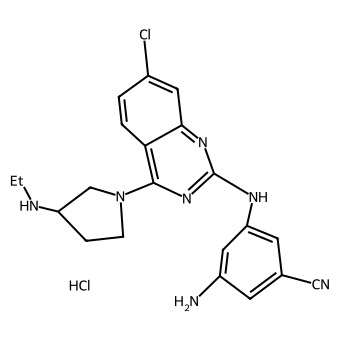 CCNC1CCN(c2nc(Nc3cc(N)cc(C#N)c3)nc3cc(Cl)ccc23)C1.Cl